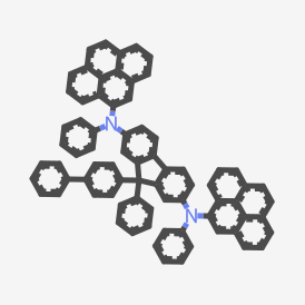 c1ccc(-c2ccc(C3(c4ccccc4)c4cc(N(c5ccccc5)c5cc6cccc7ccc8cccc5c8c76)ccc4-c4ccc(N(c5ccccc5)c5cc6cccc7ccc8cccc5c8c76)cc43)cc2)cc1